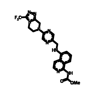 COC(=O)Nc1nccc2c(NCc3cnc(N4CCn5c(nnc5C(F)(F)F)C4)cn3)cccc12